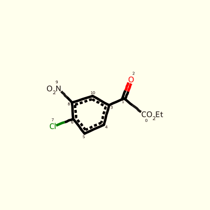 CCOC(=O)C(=O)c1ccc(Cl)c([N+](=O)[O-])c1